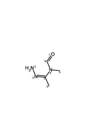 C/C(=N/N)N(C)C=O